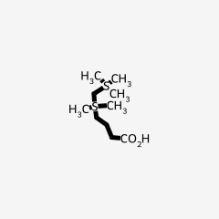 CS(C)(C)CS(C)(C)CCCC(=O)O